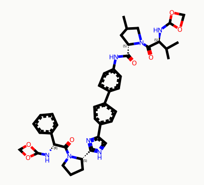 CC1C[C@@H](C(=O)Nc2ccc(-c3ccc(-c4c[nH]c([C@@H]5CCCN5C(=O)[C@H](NC5OCO5)c5ccccc5)n4)cc3)cc2)N(C(=O)[C@@H](NC2OCO2)C(C)C)C1